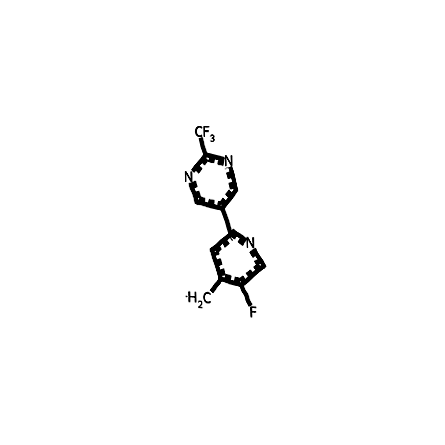 [CH2]c1cc(-c2cnc(C(F)(F)F)nc2)ncc1F